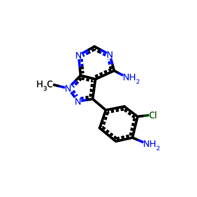 Cn1nc(-c2ccc(N)c(Cl)c2)c2c(N)ncnc21